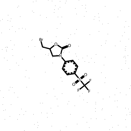 O=C1OC(CBr)CN1c1ccc(S(=O)(=O)C(F)(F)F)cc1